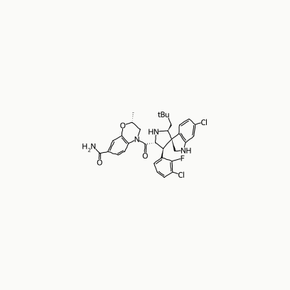 C[C@@H]1CN(C(=O)[C@@H]2N[C@@H](CC(C)(C)C)[C@@]3(CNc4cc(Cl)ccc43)[C@H]2c2cccc(Cl)c2F)c2ccc(C(N)=O)cc2O1